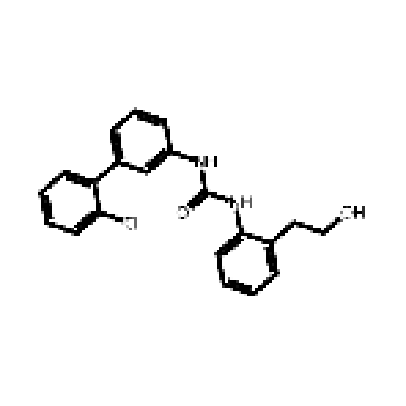 O=C(Nc1cccc(-c2ccccc2Cl)c1)Nc1ccccc1CCO